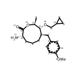 COc1ccc(C[C@H]2CCC[C@H](N)C(=O)O[C@@H](C)[C@@H]2OCC2CC2)cc1